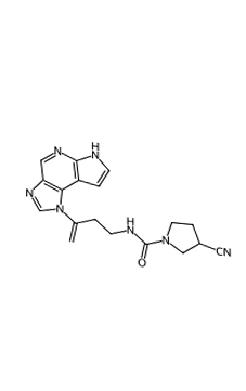 C=C(CCNC(=O)N1CCC(C#N)C1)n1cnc2cnc3[nH]ccc3c21